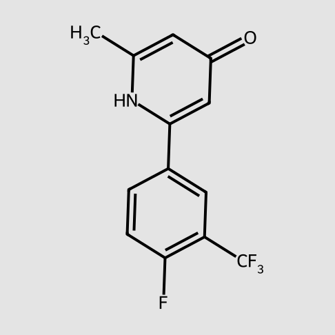 Cc1cc(=O)cc(-c2ccc(F)c(C(F)(F)F)c2)[nH]1